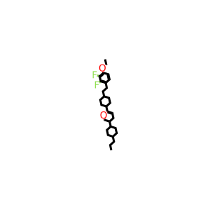 CCCC1CCC(C2CC=C(C3CCC(CCc4ccc(OCC)c(F)c4F)CC3)OC2)CC1